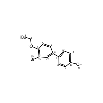 CCC(C)COc1ccc(-c2[c]cc(O)cc2)cc1Br